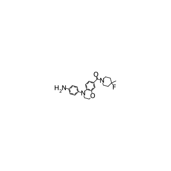 CC1(F)CCN(C(=O)c2ccc3c(c2)OCCN3c2ccc(N)cc2)CC1